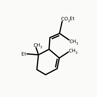 CCOC(=O)C(C)=CC1C(C)=CCCC1(C)CC